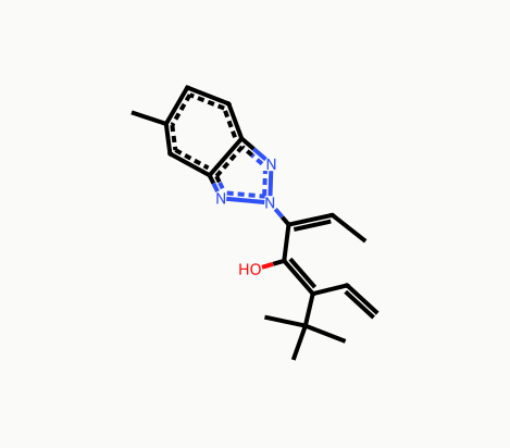 C=C/C(=C(O)\C(=C/C)n1nc2ccc(C)cc2n1)C(C)(C)C